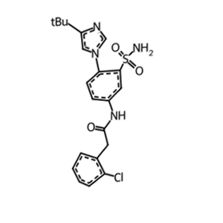 CC(C)(C)c1cn(-c2ccc(NC(=O)Cc3ccccc3Cl)cc2S(N)(=O)=O)cn1